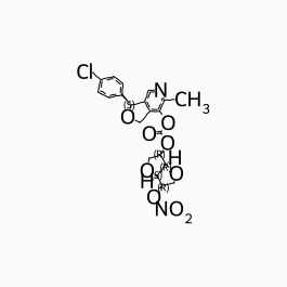 Cc1ncc2c(c1OC(=O)O[C@@H]1CO[C@H]3[C@@H]1OC[C@H]3O[N+](=O)[O-])CO[C@H]2c1ccc(Cl)cc1